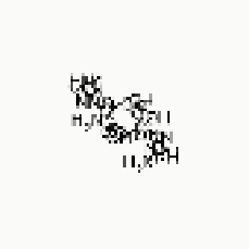 Cc1nc2c(ncn2C2OC3COP(=O)(O)OC4C(COP(=O)(O)OC3C2N)OC(n2cnc3c(=O)[nH]c(N)nc32)C4O)c(=O)[nH]1